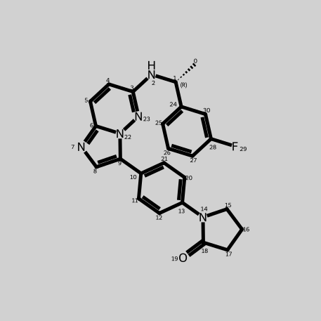 C[C@@H](Nc1ccc2ncc(-c3ccc(N4CCCC4=O)cc3)n2n1)c1cccc(F)c1